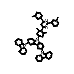 Cc1cccc(-c2cc(-c3c(C)cc(-n4c5ccc(-n6c7ccccc7c7ccccc76)cc5c5cc(-n6c7ccccc7c7ccccc76)ccc54)cc3C)nc(-c3cccc(C)c3)n2)c1